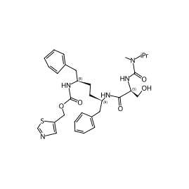 CC(C)N(C)C(=O)N[C@@H](CO)C(=O)N[C@H](CC[C@H](Cc1ccccc1)NC(=O)OCc1cncs1)Cc1ccccc1